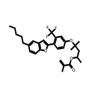 C=C(C)C(=O)OC(C)CC(C)(C)Oc1ccc(-c2cc3cc(CCCCC)ccc3o2)c(C(F)(F)F)c1